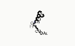 CCN(CCCC(=O)OCOC(C)=O)C(=O)/C=C/c1cc2cc3c4c(c2oc1=O)CCCN4CCC3